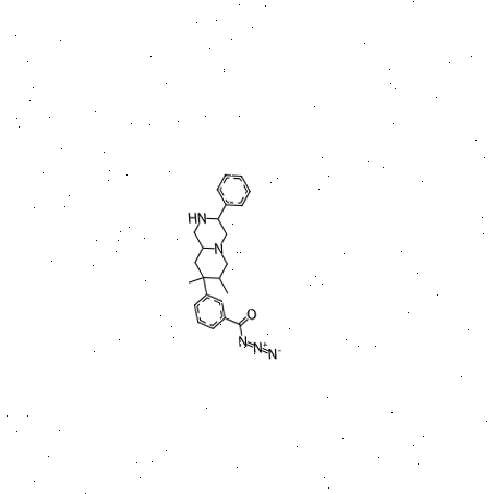 CC1CN2CC(c3ccccc3)NCC2CC1(C)c1cccc(C(=O)N=[N+]=[N-])c1